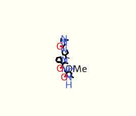 COc1cc(C)[nH]c(=O)c1CNC(=O)c1c(C)n([C@H](C)C2CCN(C(=O)Cn3ccnc3C)CC2)c2ccccc12